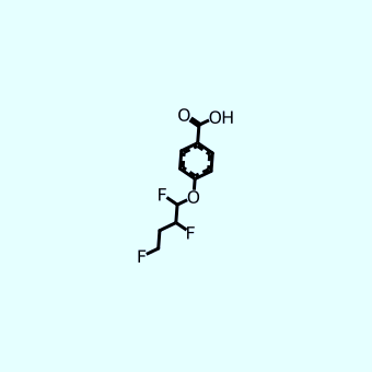 O=C(O)c1ccc(OC(F)C(F)CCF)cc1